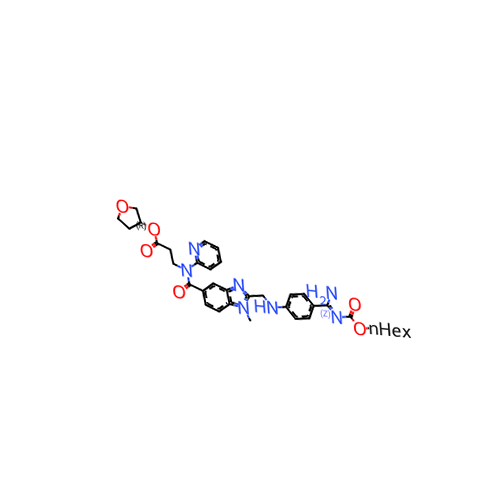 CCCCCCOC(=O)/N=C(\N)c1ccc(NCc2nc3cc(C(=O)N(CCC(=O)O[C@@H]4CCOC4)c4ccccn4)ccc3n2C)cc1